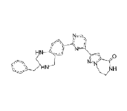 O=C1NCCn2nc(-c3ccnc(-c4ccc5c(c4)CNC(Cc4ccccc4)CN5)n3)cc21